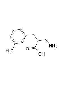 Cc1cccc(CC(CN)C(=O)O)c1